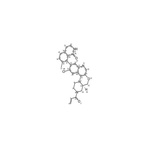 C=CC(=O)N1CCN2c3c(cnc4cc(-c5c(C)ccc6cc[nH]c(=O)c56)c(Cl)cc34)OC[C@H]2C1